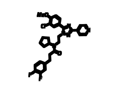 COc1ccc(-c2nc(-c3ccncc3)nn2CCN(C(=O)CCc2ccc(F)c(F)c2)C2CCCC2)cc1Cl